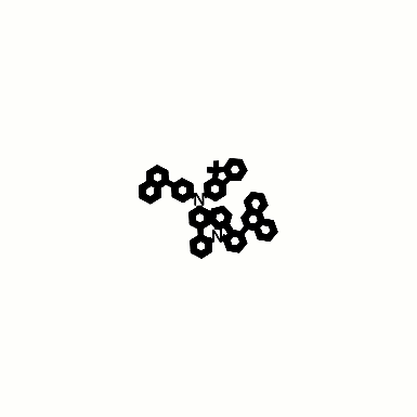 CC1(C)c2ccccc2-c2ccc(N(c3ccc(-c4ccccc4-n4c5ccccc5c5c(-c6cc7ccccc7c7ccccc67)cccc54)cc3)c3ccc(-c4cccc5ccccc45)cc3)cc21